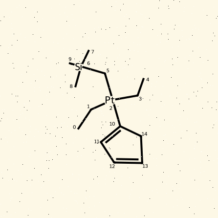 C[CH2][Pt]([CH2]C)([CH2][Si](C)(C)C)[C]1=CC=CC1